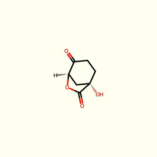 O=C1CC[C@]2(O)C[C@H]1OC2=O